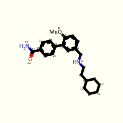 COc1ccc(CNCCC2CCCCC2)cc1-c1ccc(C(N)=O)cc1